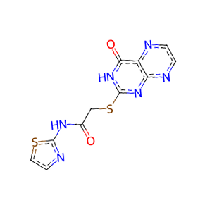 O=C(CSc1nc2nccnc2c(=O)[nH]1)Nc1nccs1